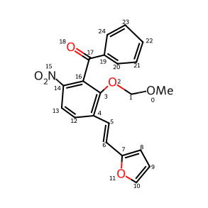 COCOc1c(C=Cc2ccco2)ccc([N+](=O)[O-])c1C(=O)c1ccccc1